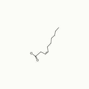 CCCCCC/C=C\CC([O])=O